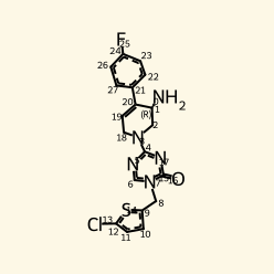 N[C@H]1CN(c2ncn(Cc3ccc(Cl)s3)c(=O)n2)CC=C1c1ccc(F)cc1